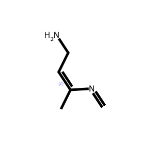 C=N/C(C)=C\CN